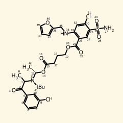 CC(C(=O)c1cccc(Cl)c1)N([C@H](C)OC(=O)CCCOC(=O)c1cc(S(N)(=O)=O)c(Cl)cc1NCc1ccco1)C(C)(C)C